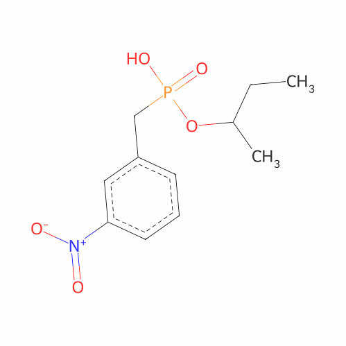 CCC(C)OP(=O)(O)Cc1cccc([N+](=O)[O-])c1